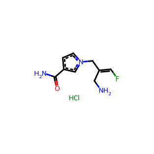 Cl.NC/C(=C\F)Cn1ccc(C(N)=O)c1